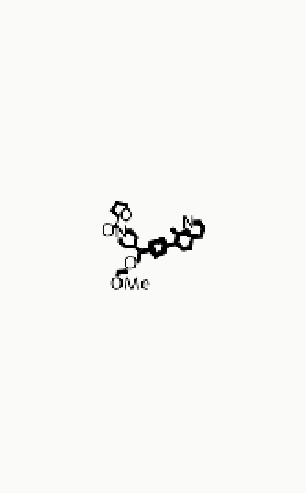 COCCOCC(c1ccc(-c2ccc3cccnc3c2C)cc1)C1CCN(C(=O)[C@H]2CCCO2)CC1